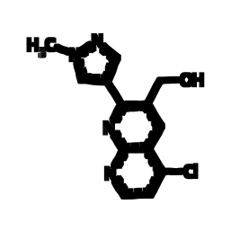 Cn1cc(-c2nc3nccc(Cl)c3cc2CO)cn1